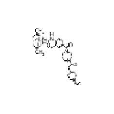 CC(=O)N1CCC(CC(=O)N2CCCN(C(=O)c3ccc(NC(=O)NC45CC6C[C@@](C)(C4)C[C@](C)(C6)C5)c(F)c3)CC2)CC1